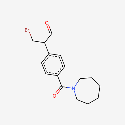 O=CC(CBr)c1ccc(C(=O)N2CCCCCC2)cc1